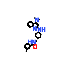 Cc1cccc(C(=O)NC[C@H]2CC[C@@H](Nc3cc(N(C)C)c4ccccc4n3)CC2)c1